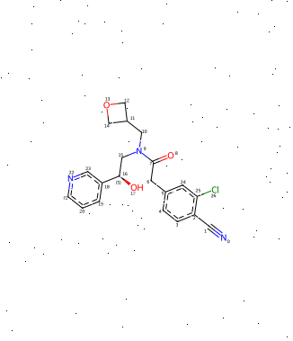 N#Cc1ccc(CC(=O)N(CC2COC2)C[C@@H](O)c2cccnc2)cc1Cl